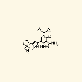 CN1CC2(CCCN2c2cc(-c3cn(C(C4CC4)C4CC4)c(=O)c4c(N)n[nH]c34)nn2C)C1